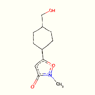 Cn1oc(C2CCC(CO)CC2)cc1=O